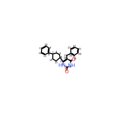 O=c1[nH]c(C2CCC(c3ccccc3)CC2)c(Cc2ccccc2)c(=O)[nH]1